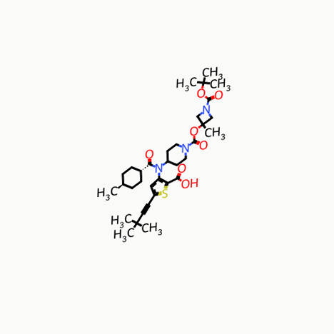 CC(C)(C)C#Cc1cc(N(C(=O)[C@H]2CC[C@H](C)CC2)C2CCN(C(=O)OC3(C)CN(C(=O)OC(C)(C)C)C3)CC2)c(C(=O)O)s1